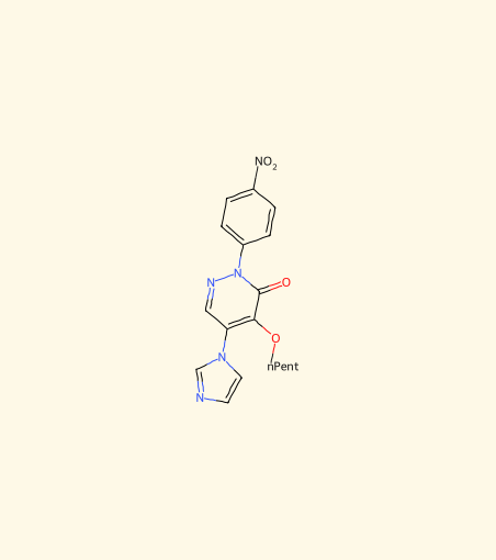 CCCCCOc1c(-n2ccnc2)cnn(-c2ccc([N+](=O)[O-])cc2)c1=O